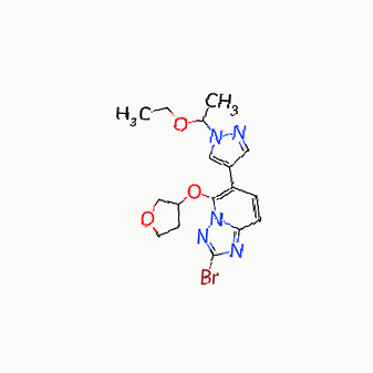 CCOC(C)n1cc(-c2ccc3nc(Br)nn3c2OC2CCOC2)cn1